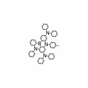 Cc1ccc(N2c3cc(N(c4ccccc4)c4ccccc4)ccc3B3c4ccccc4N(c4ccccc4)c4cc(N(c5ccccc5)c5ccccc5)cc2c43)cc1